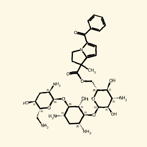 CC1(C(=O)OC[C@H]2O[C@H](O[C@@H]3[C@@H](O)[C@H](O[C@H]4O[C@H](CN)[C@@H](O)C[C@H]4N)[C@@H](N)C[C@H]3N)[C@H](O)[C@@H](N)[C@@H]2O)CCn2c(C(=O)c3ccccc3)ccc21